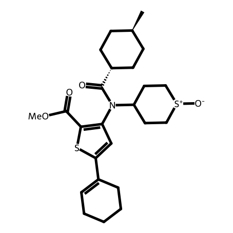 COC(=O)c1sc(C2=CCCCC2)cc1N(C(=O)[C@H]1CC[C@H](C)CC1)C1CC[S+]([O-])CC1